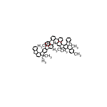 Cc1ccc(-c2cc3c(c4c2oc2ccccc24)-c2ccc(N(c4ccc5c(c4)C(C)(C)c4cc6c(cc4-5)C(C)(C)c4ccc5c(c4-6)-c4ccccc4C5)c4c(-c5ccccc5)cccc4-c4ccccc4)cc2C3(C)C)c(C)c1